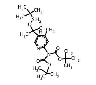 Cc1cc(N(C(=O)OC(C)(C)C)C(=O)OC(C)(C)C)ncc1C(C)(C)O[SiH2]C(C)(C)C